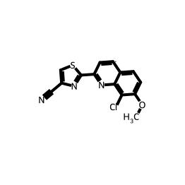 COc1ccc2[c]cc(-c3nc(C#N)cs3)nc2c1Cl